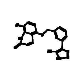 N#Cc1[nH]nnc1-c1cccc(COc2ccc(Cl)c3[nH]c(=O)ccc23)c1